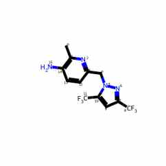 Cc1nc(Cn2nc(C(F)(F)F)cc2C(F)(F)F)ccc1N